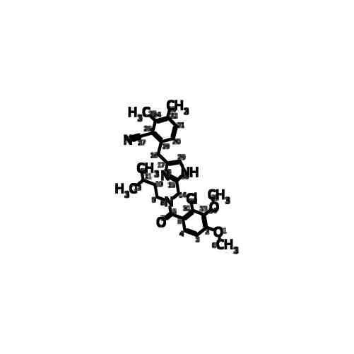 COc1ccc(C(=O)N(CCC(C)C)Cc2nc(Cc3ccc(C)c(C)c3C#N)c[nH]2)c(Cl)c1OC